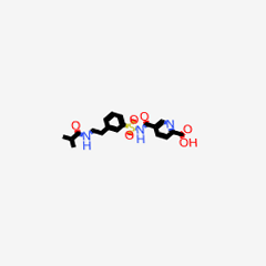 CC(C)C(=O)NCCc1cccc(S(=O)(=O)NC(=O)c2ccc(C(=O)O)nc2)c1